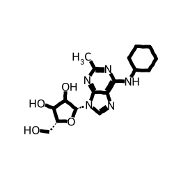 Cc1nc(NC2CCCCC2)c2ncn([C@@H]3O[C@H](CO)C(O)C3O)c2n1